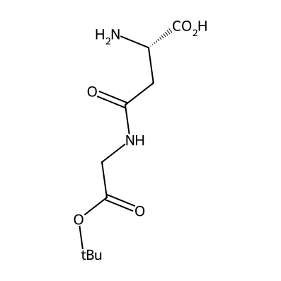 CC(C)(C)OC(=O)CNC(=O)C[C@H](N)C(=O)O